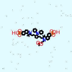 CC(=O)OCCN1/C(=C/C=C2\CCC(/C=C/C3=Nc4ccc5cc(S(=O)(=O)O)ccc5c4C3(C)C)=C2N(c2ccccc2)c2ccccc2)C(C)(C)c2c1ccc1cc(S(=O)(=O)O)ccc21